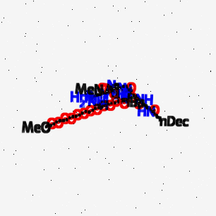 CCCCCCCCCCCCCCCC(=O)NCCCCCC(=O)NCCCC[C@H](NC(=O)[C@@H](NC(=O)CCOCCOCCOCCOCCOCCOCCOCCOCCOCCOCCOCCOC)[C@@H](C)CC)C(=O)N1CCN(c2ccc3ncn(CC(=O)N[C@@H](CCCNC(=N)N)C(=O)NC)c(=O)c3c2)CC1